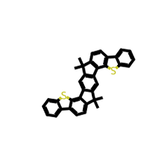 CC1(C)c2cc3c(cc2-c2c1ccc1c2sc2ccccc21)C(C)(C)c1ccc2c(sc4ccccc42)c1-3